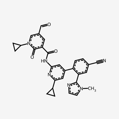 Cn1ccnc1-c1cc(C#N)ccc1-c1cc(NC(=O)c2cc(C=O)cn(C3CC3)c2=O)nc(C2CC2)c1